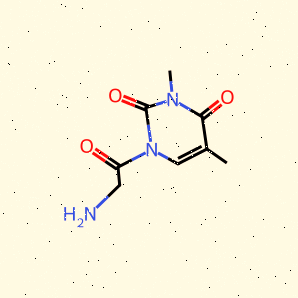 Cc1cn(C(=O)CN)c(=O)n(C)c1=O